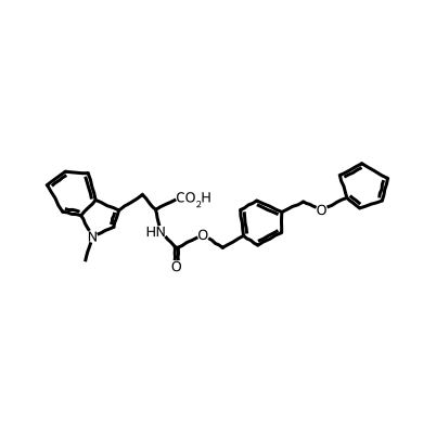 Cn1cc(CC(NC(=O)OCc2ccc(COc3ccccc3)cc2)C(=O)O)c2ccccc21